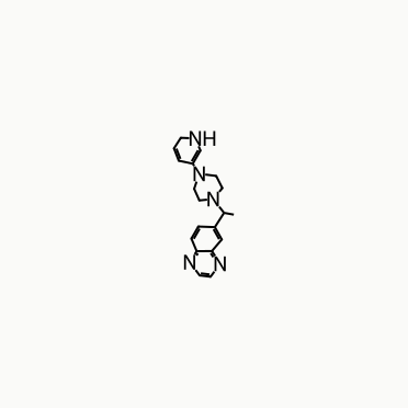 CC(c1ccc2nccnc2c1)N1CCN(C2=CNCC=C2)CC1